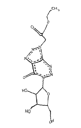 CCOC(=O)Cn1nnc2c(=O)n(C3OC(CO)C(O)C3O)nnc21